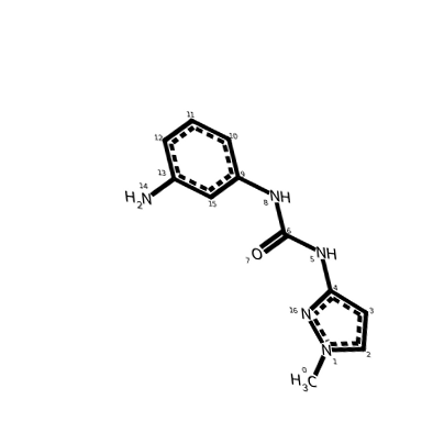 Cn1ccc(NC(=O)Nc2cccc(N)c2)n1